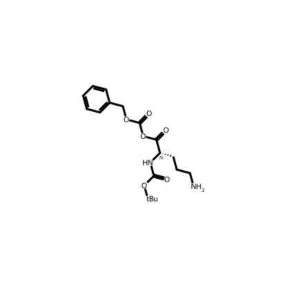 CC(C)(C)OC(=O)N[C@@H](CCCN)C(=O)OC(=O)OCc1ccccc1